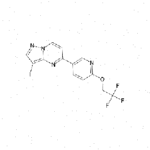 FC(F)(F)COc1ccc(-c2ccn3ncc(I)c3n2)cn1